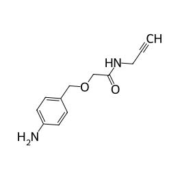 C#CCNC(=O)COCc1ccc(N)cc1